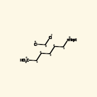 CCCCCCCCCCCCC(=O)O.ClCCl